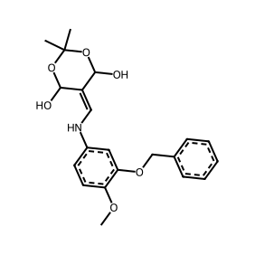 COc1ccc(NC=C2C(O)OC(C)(C)OC2O)cc1OCc1ccccc1